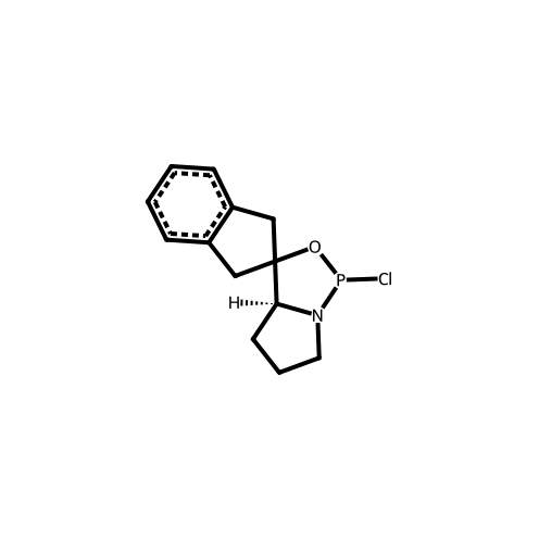 ClP1OC2(Cc3ccccc3C2)[C@@H]2CCCN21